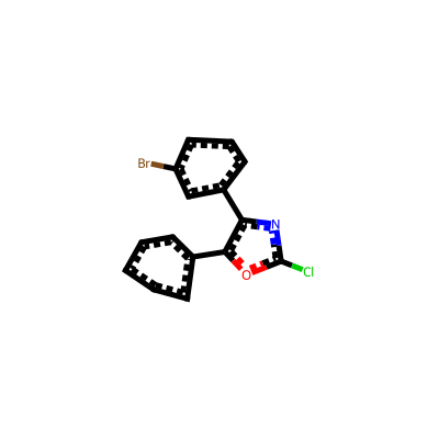 Clc1nc(-c2cccc(Br)c2)c(-c2ccccc2)o1